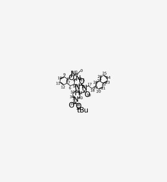 Cc1noc(C(Cc2ccccc2)NC(=O)N(CCc2ccc3ccccc3c2)C(=O)C2CCCN(C(=O)OC(C)(C)C)C2)n1